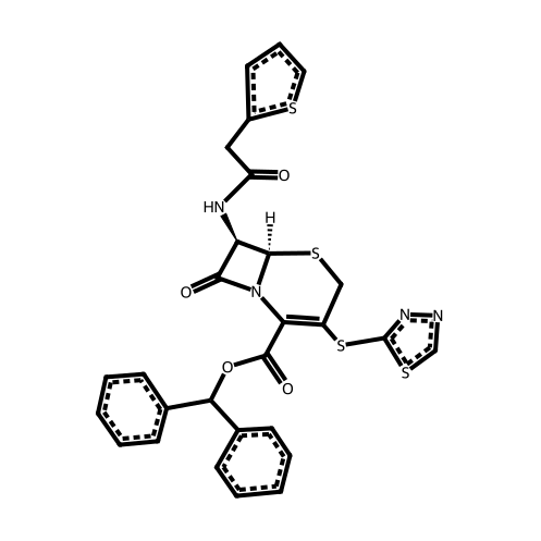 O=C(Cc1cccs1)N[C@@H]1C(=O)N2C(C(=O)OC(c3ccccc3)c3ccccc3)=C(Sc3nncs3)CS[C@H]12